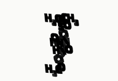 COc1cccc(CNC(=O)c2nc3ccc(SC(=O)N(C)C)cc3c(=O)[nH]2)c1